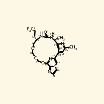 CCN1C(=O)N[C@@H](CCC(F)(F)F)CCCCCOc2nc(cn3ccnc23)-c2cc(C)nc(c2)[C@@H]1C